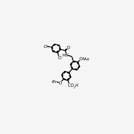 COc1ccc(-c2ccc(OC(C)C)c(C(=O)O)c2)cc1CNC(=O)c1ccc(Cl)cc1Cl